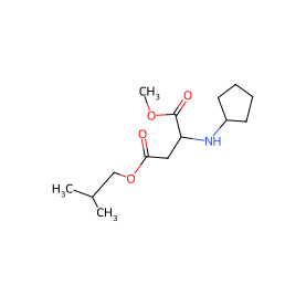 COC(=O)C(CC(=O)OCC(C)C)NC1CCCC1